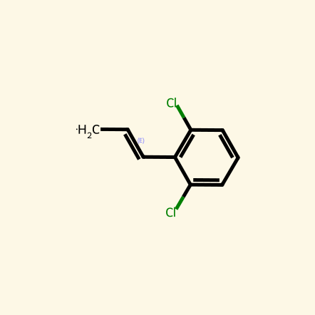 [CH2]/C=C/c1c(Cl)cccc1Cl